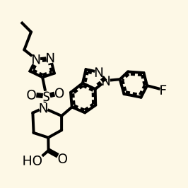 CCCn1cc(S(=O)(=O)N2CCC(C(=O)O)CC2c2ccc3c(cnn3-c3ccc(F)cc3)c2)cn1